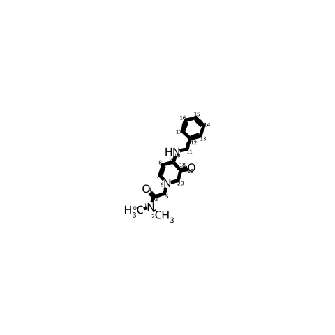 CN(C)C(=O)CN1C=CC(NCc2ccccc2)C(=O)C1